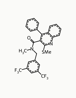 CSc1nc2ccccc2c(-c2ccccc2)c1C(=O)N(C)Cc1cc(C(F)(F)F)cc(C(F)(F)F)c1